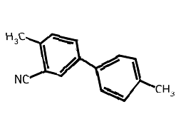 Cc1ccc(-c2ccc(C)c(C#N)c2)cc1